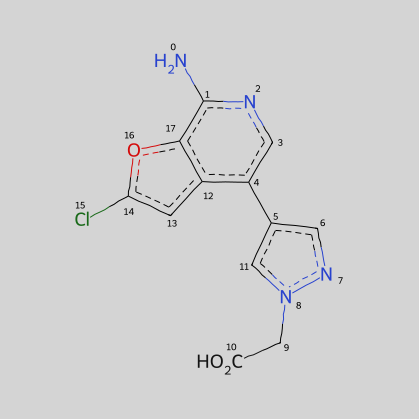 Nc1ncc(-c2cnn(CC(=O)O)c2)c2cc(Cl)oc12